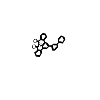 O=c1c2ccccc2c2cc(-c3cccc(-c4ccccc4)c3)cc3c4ccccc4c(=O)n1c23